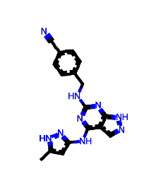 Cc1cc(Nc2nc(NCc3ccc(C#N)cc3)nc3[nH]ncc23)n[nH]1